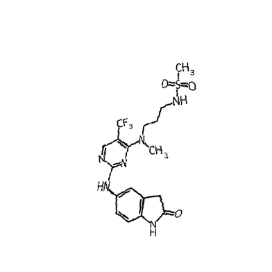 CN(CCCNS(C)(=O)=O)c1nc(Nc2ccc3c(c2)CC(=O)N3)ncc1C(F)(F)F